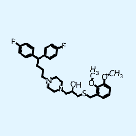 COc1cccc(CSCC(O)CN2CCN(CCCC(c3ccc(F)cc3)c3ccc(F)cc3)CC2)c1OC